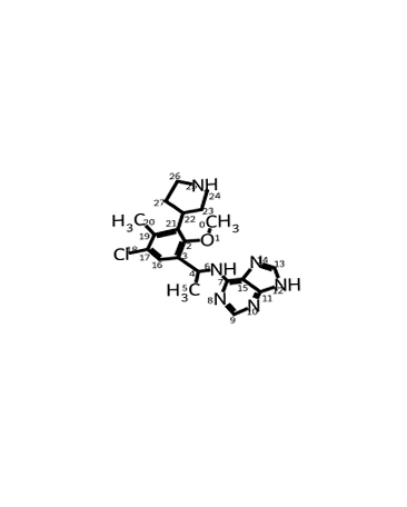 COc1c(C(C)Nc2ncnc3[nH]cnc23)cc(Cl)c(C)c1C1CCNCC1